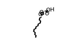 C=C/C=C/C=C\C=C\C=C\C=C/C=C\C[C@H]1C[C@@H](CC(=O)O)OO1